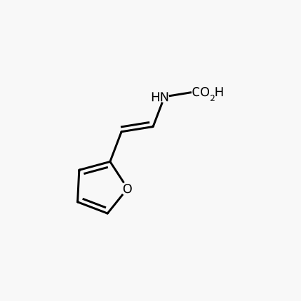 O=C(O)N/C=C/c1ccco1